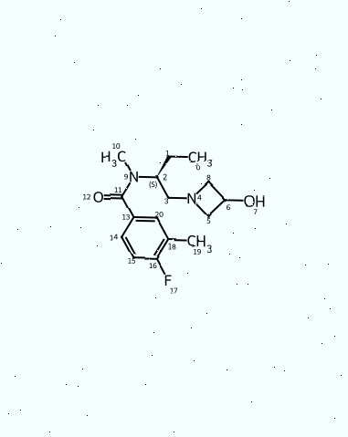 CC[C@@H](CN1CC(O)C1)N(C)C(=O)c1ccc(F)c(C)c1